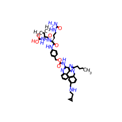 CCCCc1nc2c(NC(=O)OCc3ccc(NC(=O)[C@H](CCCNC(N)=O)NC(=O)[C@@H](NC(=O)O)C(C)C)cc3)nc3ccccc3c2n1Cc1ccc(CNCCC2CC2)cc1